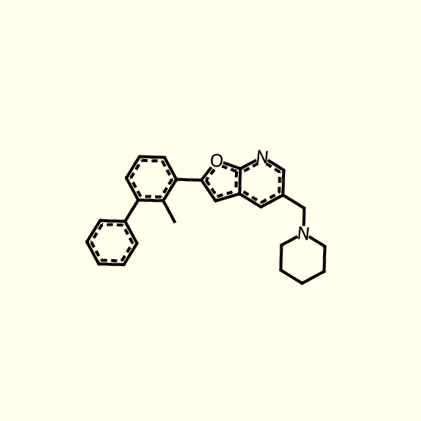 Cc1c(-c2ccccc2)cccc1-c1cc2cc(CN3CCCCC3)cnc2o1